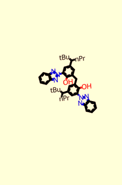 CCCC(c1cc(Cc2cc(C(CCC)C(C)(C)C)cc(-n3nc4ccccc4n3)c2O)c(O)c(-n2nc3ccccc3n2)c1)C(C)(C)C